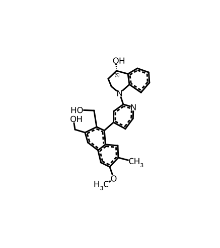 COc1cc2cc(CO)c(CO)c(-c3ccnc(N4CC[C@H](O)c5ccccc54)c3)c2cc1C